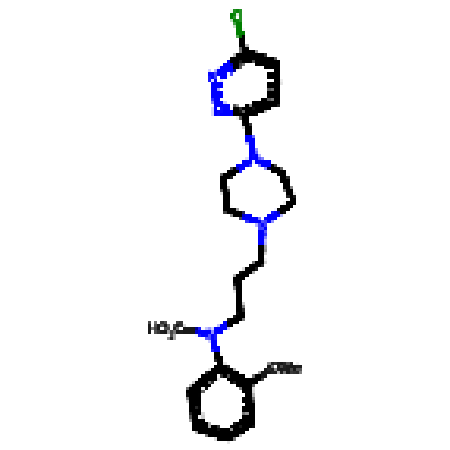 COc1ccccc1N(CCCN1CCN(c2ccc(Cl)nn2)CC1)C(=O)O